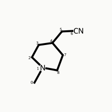 CN1CCC(CC#N)CC1